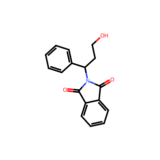 O=C1c2ccccc2C(=O)N1C(CCO)c1ccccc1